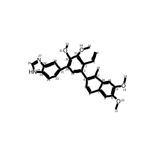 C=Cc1c(-c2ccc3cc(OC)c(OC)cc3c2C)cc(-c2ccc3[nH]cnc3c2)c(OC)c1OC